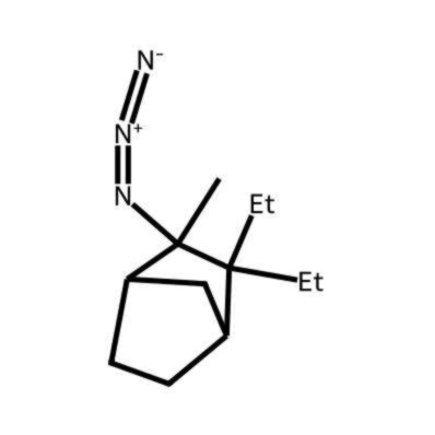 CCC1(CC)C2CCC(C2)C1(C)N=[N+]=[N-]